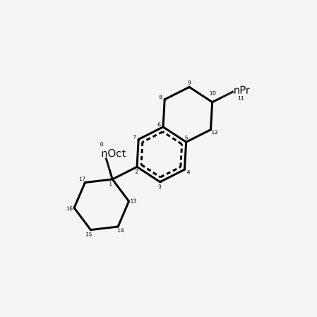 CCCCCCCCC1(c2ccc3c(c2)CCC(CCC)C3)CCCCC1